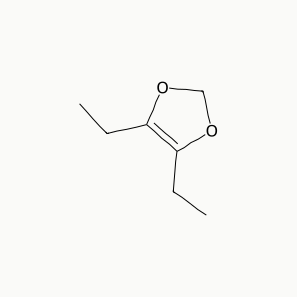 CCC1=C(CC)OCO1